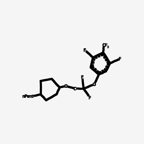 CCCCCC1CCC(OCC(F)(F)Oc2cc(F)c(C(F)(F)F)c(F)c2)CC1